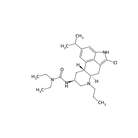 CCCN1C[C@@H](NC(=O)N(CC)CC)C[C@@H]2c3cc(C(C)C)cc4[nH]c(Cl)c(c34)C[C@H]21